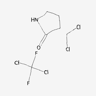 ClCCl.FC(F)(Cl)Cl.O=C1CCCN1